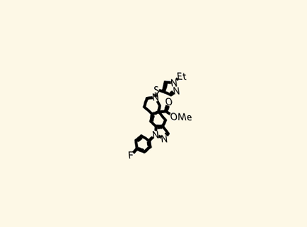 CCn1cc(SN2CCC3=Cc4c(cnn4-c4ccc(F)cc4)CC3(C(=O)OC)C2)cn1